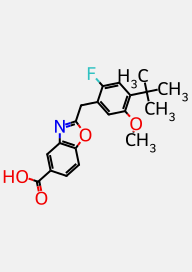 COc1cc(Cc2nc3cc(C(=O)O)ccc3o2)c(F)cc1C(C)(C)C